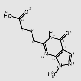 Cn1ncc2c(=O)[nH]c(CCCC(=O)O)nc21